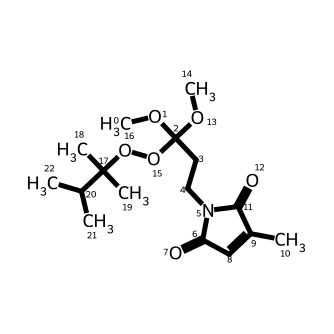 COC(CCN1C(=O)C=C(C)C1=O)(OC)OOC(C)(C)C(C)C